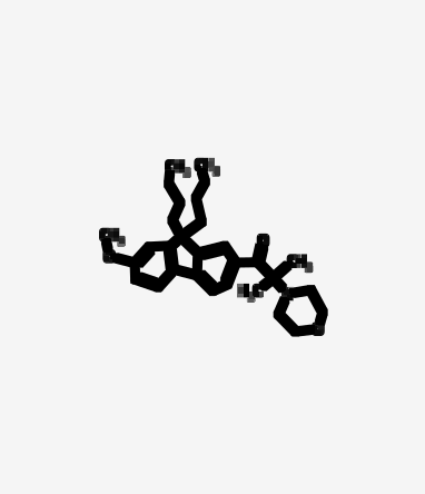 CCCCC1(CCCC)c2cc(OC)ccc2-c2ccc(C(=O)C(C)(C)N3CCOCC3)cc21